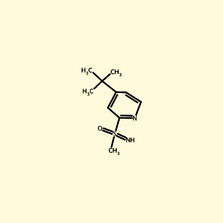 CC(C)(C)c1ccnc(S(C)(=N)=O)c1